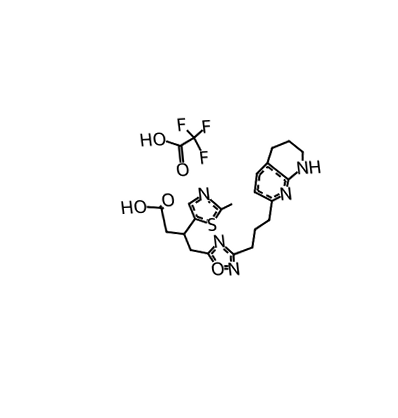 Cc1ncc(C(CC(=O)O)Cc2nc(CCCc3ccc4c(n3)NCCC4)no2)s1.O=C(O)C(F)(F)F